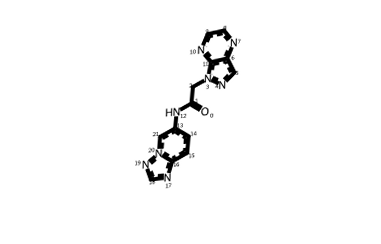 O=C(Cn1ncc2nccnc21)Nc1ccc2ncnn2c1